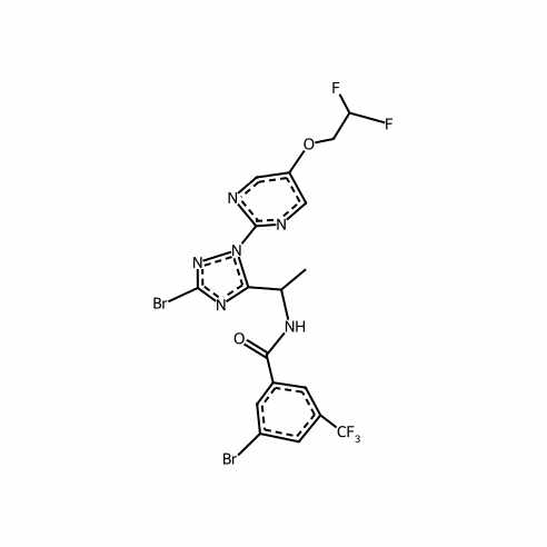 CC(NC(=O)c1cc(Br)cc(C(F)(F)F)c1)c1nc(Br)nn1-c1ncc(OCC(F)F)cn1